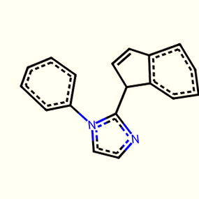 C1=CC(c2nccn2-c2ccccc2)c2ccccc21